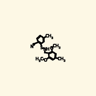 COc1cc(C)cc(OC)c1CNSc1cc(C)ccc1C#N